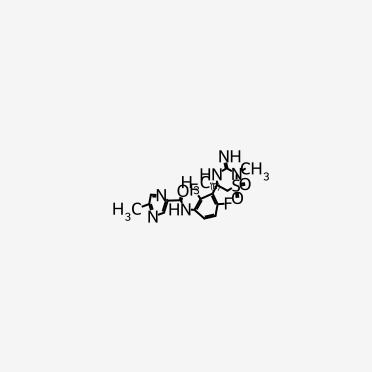 Cc1cnc(C(=O)Nc2ccc(F)c([C@]3(C)CS(=O)(=O)N(C)C(=N)N3)c2F)cn1